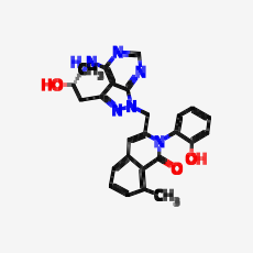 Cc1cccc2cc(Cn3nc(C[C@@H](C)O)c4c(N)ncnc43)n(-c3ccccc3O)c(=O)c12